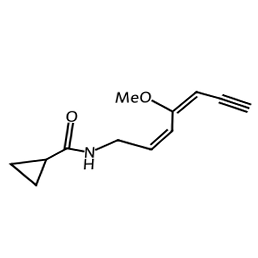 C#C/C=C(\C=C/CNC(=O)C1CC1)OC